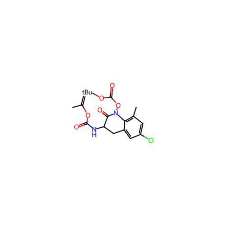 C=C(C)OC(=O)NC1Cc2cc(Cl)cc(C)c2N(OC(=O)OC(C)(C)C)C1=O